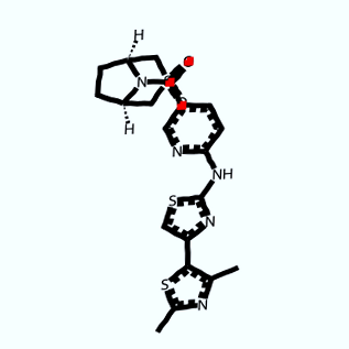 Cc1nc(C)c(-c2csc(Nc3ccc(C(=O)N4[C@@H]5CC[C@H]4CS(=O)(=O)C5)cn3)n2)s1